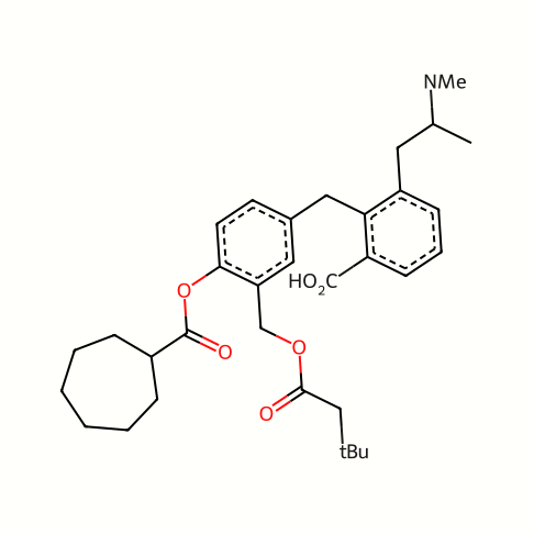 CNC(C)Cc1cccc(C(=O)O)c1Cc1ccc(OC(=O)C2CCCCCC2)c(COC(=O)CC(C)(C)C)c1